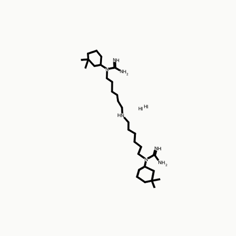 CC1(C)CCCC(N(CCCCCCNCCCCCCN(C(=N)N)C2CCCC(C)(C)C2)C(=N)N)C1.I.I